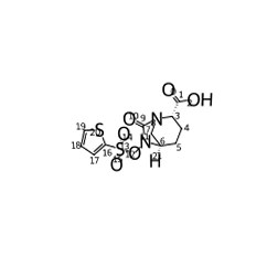 O=C(O)[C@@H]1CC[C@@H]2CN1C(=O)N2OS(=O)(=O)c1cccs1